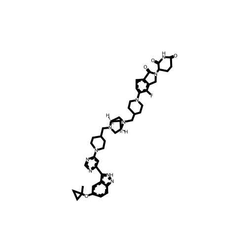 CC1(Oc2ccc3n[nH]c(-c4cc(N5CCC(CN6C[C@H]7C[C@@H]6CN7CC6CCN(c7ccc8c(c7F)CN(C7CCC(=O)NC7=O)C8=O)CC6)CC5)ncn4)c3c2)CC1